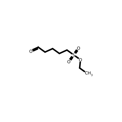 CCOS(=O)(=O)CCCC[C]=O